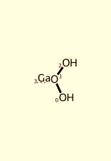 OOO.[Ga]